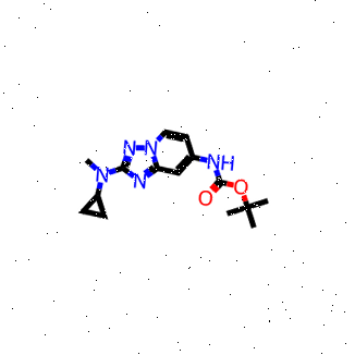 CN(c1nc2cc(NC(=O)OC(C)(C)C)ccn2n1)C1CC1